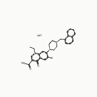 CCn1cc(C(=O)O)c(=O)c2cc(F)c(N3CCN(Cc4cccc5ccccc45)CC3)cc21.Cl